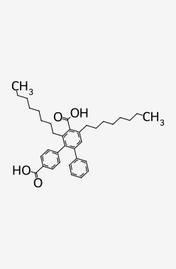 CCCCCCCCc1cc(-c2ccccc2)c(-c2ccc(C(=O)O)cc2)c(CCCCCCCC)c1C(=O)O